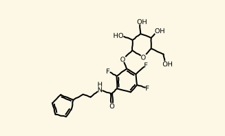 O=C(NCCc1ccccc1)c1cc(F)c(F)c(OC2OC(CO)C(O)C(O)C2O)c1F